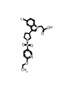 CCOc1ccc(S(=O)(=O)N2CCC(c3cn(CC(=O)O)c4ccc(Cl)cc34)C2)cn1